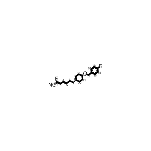 N#CC(F)=CC=CCC[C@H]1CC[C@H](OCc2ccc(F)cc2)CC1